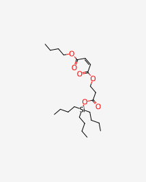 CCCCOC(=O)/C=C\C(=O)OCCC(=O)O[Si](CCCC)(CCCC)CCCC